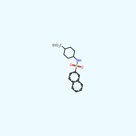 CCOC(=O)C1CCC(NS(=O)(=O)c2ccc3ccccc3c2)CC1